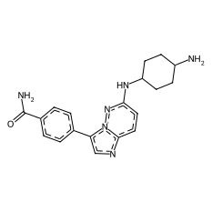 NC(=O)c1ccc(-c2cnc3ccc(NC4CCC(N)CC4)nn23)cc1